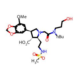 CCCCN(CCCO)C(=O)CN1C[C@H](c2cc(OC)c3c(c2)OCO3)[C@@H](C(=O)O)[C@@H]1CCNS(C)(=O)=O